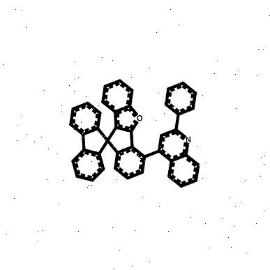 c1ccc(-c2cc(-c3cccc4c3-c3oc5ccccc5c3C43c4ccccc4-c4ccccc43)c3ccccc3n2)cc1